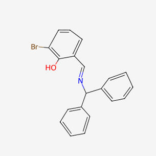 Oc1c(Br)cccc1C=NC(c1ccccc1)c1ccccc1